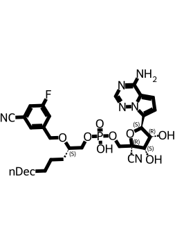 CCCCCCCCCCCCC[C@@H](COP(=O)(O)OC[C@@]1(C#N)O[C@@H](c2ccc3c(N)ncnn23)[C@H](O)[C@@H]1O)OCc1cc(F)cc(C#N)c1